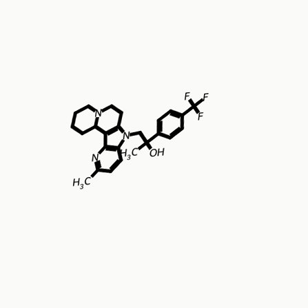 Cc1ccc2c(n1)c1c(n2CC(C)(O)c2ccc(C(F)(F)F)cc2)CCN2CCCCC12